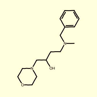 CN(CCC(O)CN1CCOCC1)Cc1ccccc1